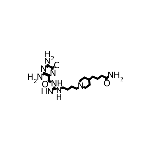 N=C(NCCCCN1CCC(CCCC(N)=O)CC1)NC(=O)c1nc(Cl)c(N)nc1N